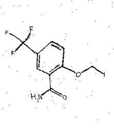 NC(=O)c1cc(C(F)(F)F)ccc1OCI